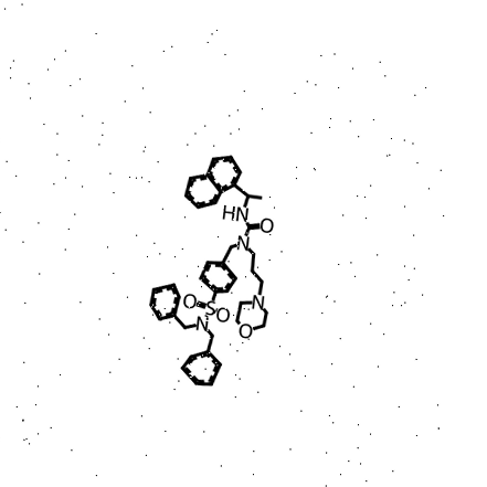 CC(NC(=O)N(CCCN1CCOCC1)Cc1ccc(S(=O)(=O)N(Cc2ccccc2)Cc2ccccc2)cc1)c1cccc2ccccc12